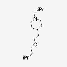 CC(C)CCOCCC1CCN(CC(C)C)CC1